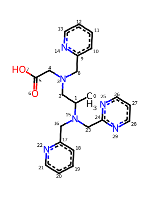 CC(CN(CC(=O)O)Cc1ccccn1)N(Cc1ccccn1)Cc1ncccn1